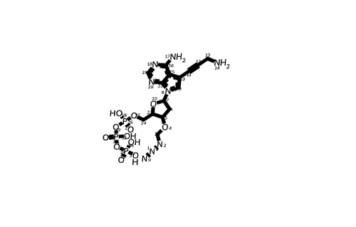 [N-]=[N+]=NCOC1CC(n2cc(C#CCN)c3c(N)ncnc32)OC1COP(=O)(O)OP(=O)(O)OP(=O)(O)O